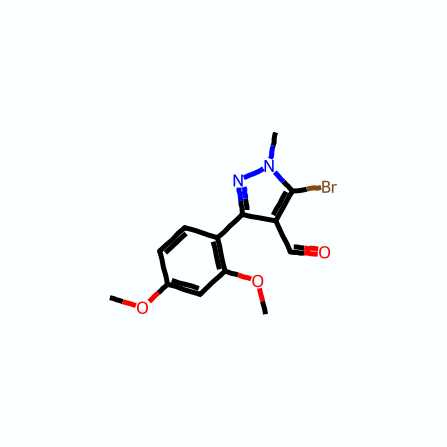 COc1ccc(-c2nn(C)c(Br)c2C=O)c(OC)c1